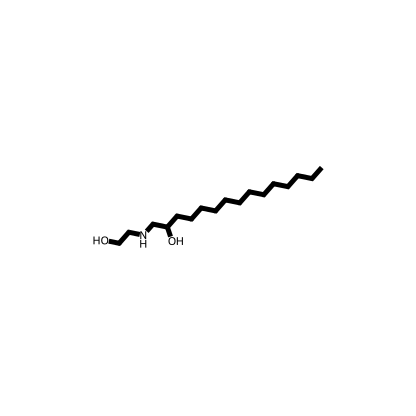 CCCCCCCCCCCCCC(O)CNCCO